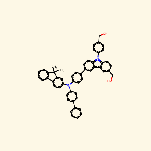 CC1(C)c2ccccc2-c2ccc(N(c3ccc(-c4ccccc4)cc3)c3ccc(-c4ccc5c(c4)c4cc(CO)ccc4n5-c4ccc(CO)cc4)cc3)cc21